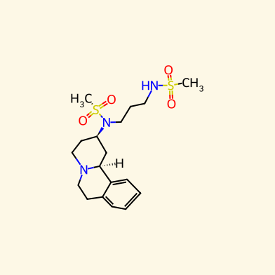 CS(=O)(=O)NCCCN([C@@H]1CCN2CCc3ccccc3[C@@H]2C1)S(C)(=O)=O